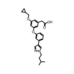 CC(C)CCn1cc(-c2cccc(Oc3cc(CC(=O)O)cc(OCC4CC4)c3)c2)cn1